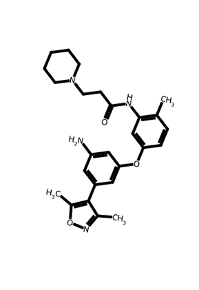 Cc1ccc(Oc2cc(N)cc(-c3c(C)noc3C)c2)cc1NC(=O)CCN1CCCCC1